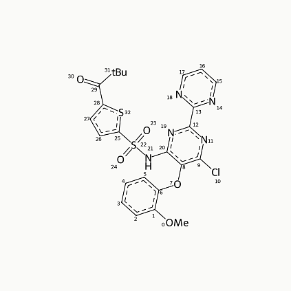 COc1ccccc1Oc1c(Cl)nc(-c2ncccn2)nc1NS(=O)(=O)c1ccc(C(=O)C(C)(C)C)s1